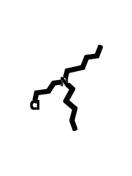 CCCCCN(CCCCl)CCCCC